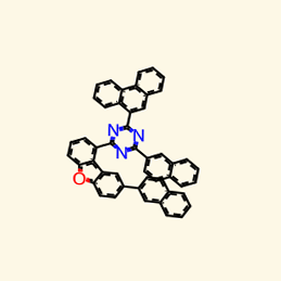 c1ccc2cc(-c3ccc4oc5cccc(-c6nc(-c7ccc8ccccc8c7)nc(-c7cc8ccccc8c8ccccc78)n6)c5c4c3)ccc2c1